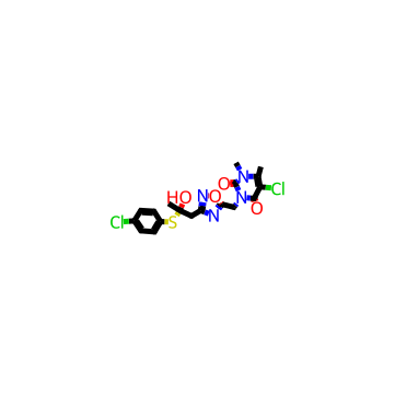 Cc1c(Cl)c(=O)n(Cc2nc(CC(C)(O)Sc3ccc(Cl)cc3)no2)c(=O)n1C